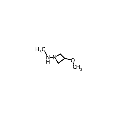 CNN1CC(OC)C1